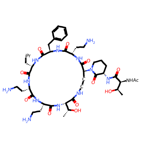 CC(=O)N[C@H](C(=O)N[C@H]1CCCN([C@H]2CCNC(=O)[C@H]([C@@H](C)O)NC(=O)[C@H](CCN)NC(=O)[C@H](CCN)NC(=O)[C@H](CC(C)C)NC(=O)[C@@H](Cc3ccccc3)NC(=O)[C@H](CCN)NC2=O)C1=O)[C@@H](C)O